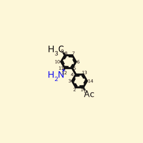 CC(=O)c1ccc(-c2ccc(C)cc2N)cc1